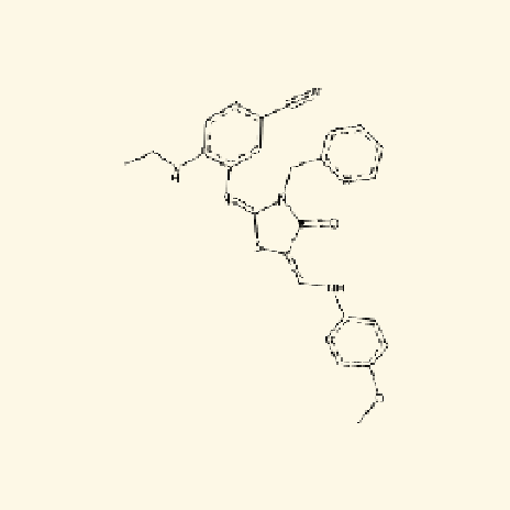 CCNc1ccc(C#N)cc1/N=C1/S/C(=C/Nc2ccc(OC)cc2)C(=O)N1Cc1ccccc1